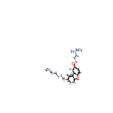 CCCNCCCOc1ccc2oc3ccc(OCCCNCCC)cc3c2c1